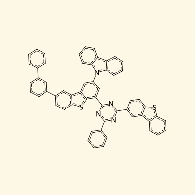 c1ccc(-c2cccc(-c3ccc4sc5c(-c6nc(-c7ccccc7)nc(-c7ccc8sc9ccccc9c8c7)n6)cc(-n6c7ccccc7c7ccccc76)cc5c4c3)c2)cc1